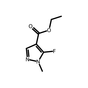 CCOC(=O)c1cnn(C)c1F